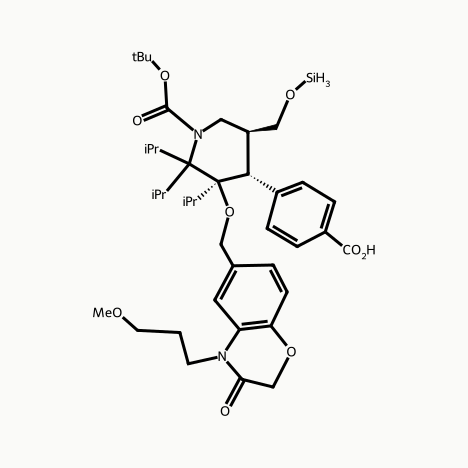 COCCCN1C(=O)COc2ccc(CO[C@]3(C(C)C)[C@@H](c4ccc(C(=O)O)cc4)[C@H](CO[SiH3])CN(C(=O)OC(C)(C)C)C3(C(C)C)C(C)C)cc21